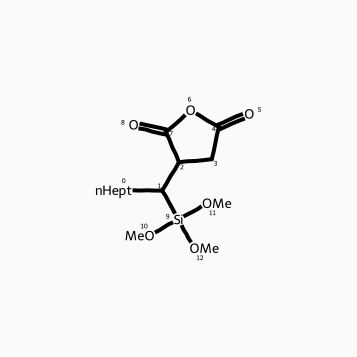 CCCCCCCC(C1CC(=O)OC1=O)[Si](OC)(OC)OC